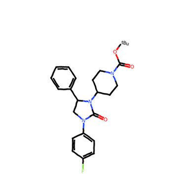 CC(C)(C)OC(=O)N1CCC(N2C(=O)N(c3ccc(F)cc3)CC2c2ccccc2)CC1